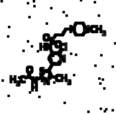 CC(=O)Nc1nc(C)c(-c2cnc(Cl)c(NS(=O)(=O)CCCN3CCN(C)CC3)c2)s1